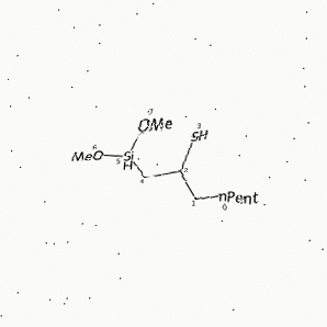 CCCCCCC(S)C[SiH](OC)OC